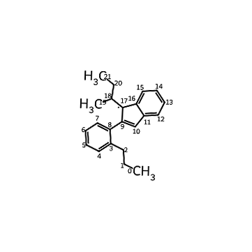 CCCc1ccccc1C1=Cc2ccccc2[C]1C(C)CC